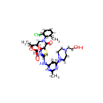 Cc1nc(Nc2ncc(C(=O)N(Cc3oc(=O)oc3C)c3c(C)cccc3Cl)s2)cc(N2CCN(CCO)CC2)n1